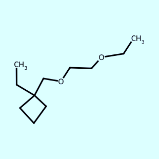 CCOCCOCC1(CC)CCC1